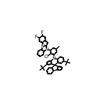 Cc1cc(N2c3ccc(C(C)(C)C)cc3C3(c4ccccc4-c4ccccc43)c3cc(C(C)(C)C)ccc32)c(Cl)c(-n2c3ccccc3n3c4cc(F)c(F)cc4cc23)c1